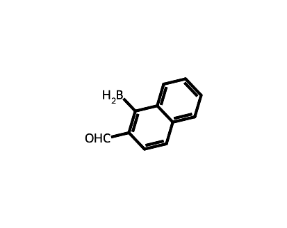 Bc1c(C=O)ccc2ccccc12